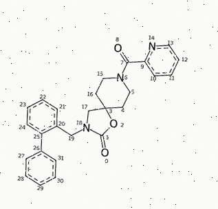 O=C1OC2(CCN(C(=O)c3ccccn3)CC2)CN1Cc1ccccc1-c1ccccc1